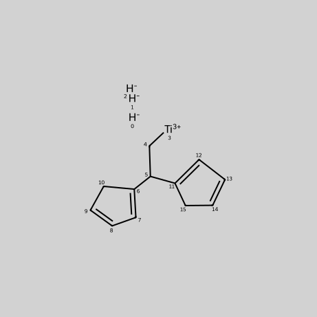 [H-].[H-].[H-].[Ti+3][CH2]C(C1=CC=CC1)C1=CC=CC1